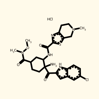 CON(C)C(=O)C1CCC(N)(C(=O)c2cc3cc(Cl)ccc3[nH]2)C(NC(=O)c2nc3c(s2)CN(C)CC3)C1.Cl